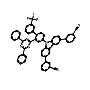 N#Cc1cccc(-c2ccc3c(c2)c2cc(-c4cccc(C#N)c4)ccc2n3-c2ccc(-c3cccc(C(F)(F)F)c3)c(-c3nc(-c4ccccc4)nc(-c4ccccc4)n3)c2)c1